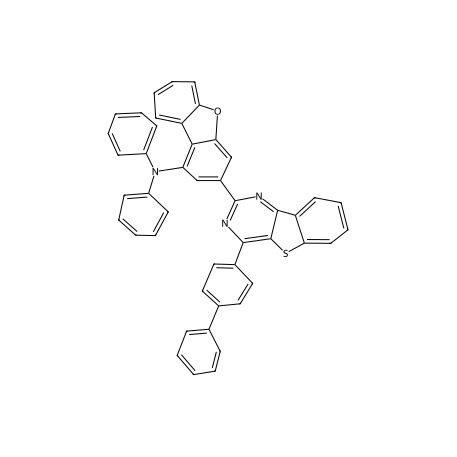 c1ccc(-c2ccc(-c3nc(-c4cc(N(c5ccccc5)c5ccccc5)c5c(c4)oc4ccccc45)nc4c3sc3ccccc34)cc2)cc1